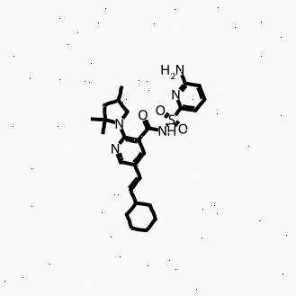 CC1CN(c2ncc(/C=C/C3CCCCC3)cc2C(=O)NS(=O)(=O)c2cccc(N)n2)C(C)(C)C1